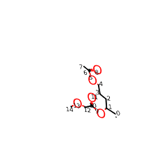 [CH2]C(CCCOC(C)=O)OC(=O)COC